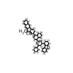 CC1(C)c2cc(-c3ccc(-c4nc(-c5ccccc5)cc(-c5cccc6oc7ccccc7c56)n4)c4ccccc34)ccc2-c2cc3ccccc3cc21